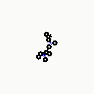 CC1(C)c2ccccc2-c2ccc(N(c3ccccc3)c3ccc(-c4cc5c6ccc7ccccc7c6n(-c6ccccc6)c5c5ccccc45)cc3)cc21